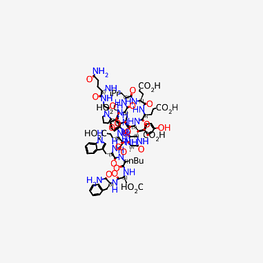 CCCC[C@H](NC(=O)[C@H](Cc1c[nH]c2ccccc12)NC(=O)CNC(=O)[C@H](Cc1ccc(O)cc1)NC(=O)[C@H](C)NC(=O)[C@H](CCC(=O)O)NC(=O)[C@H](CCC(=O)O)NC(=O)[C@H](CCC(=O)O)NC(=O)[C@H](CCC(=O)O)NC(=O)[C@H](CCC(=O)O)NC(=O)[C@H](CC(C)C)NC(=O)[C@H](Cc1c[nH]c2ccccc12)NC(=O)[C@@H]1CCCN1C(=O)CNC(=O)[C@@H](N)CCC(N)=O)C(=O)N[C@@H](CC(=O)O)C(=O)N[C@@H](Cc1ccccc1)C(N)=O